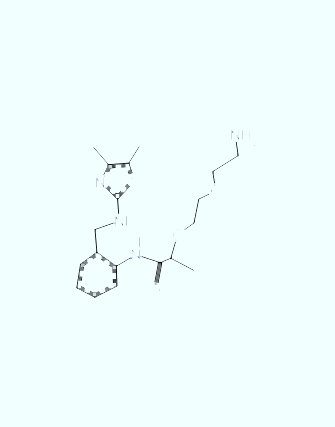 Cc1nc(NCc2ccccc2NC(=O)C(C)OCCOCCN)sc1C